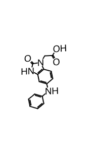 O=C(O)Cn1c(=O)[nH]c2cc(Nc3ccccc3)ccc21